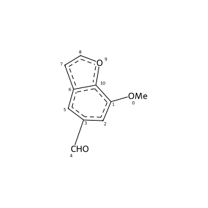 COc1cc(C=O)cc2ccoc12